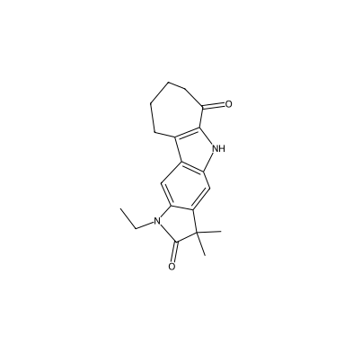 CCN1C(=O)C(C)(C)c2cc3[nH]c4c(c3cc21)CCCCC4=O